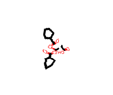 CC(=O)O.CC(OC(=O)C1CCCCC1)OC(=O)C1CCCCC1